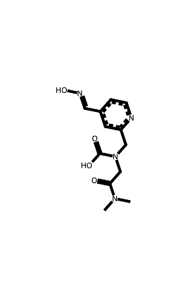 CN(C)C(=O)CN(Cc1cc(C=NO)ccn1)C(=O)O